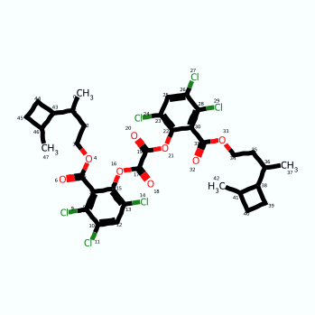 CC(CCOC(=O)c1c(Cl)c(Cl)cc(Cl)c1OC(=O)C(=O)Oc1c(Cl)cc(Cl)c(Cl)c1C(=O)OCCC(C)C1CCC1C)C1CCC1C